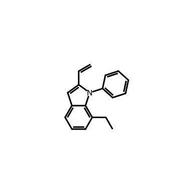 C=Cc1cc2cccc(CC)c2n1-c1ccccc1